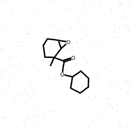 CC1(C(=O)OC2CCCCC2)CCCC2OC21